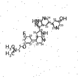 CN(C)CCOc1cc(F)cc(-c2ccnc3[nH]c(-c4n[nH]c5ncc(-c6cncc(O)c6)cc45)cc23)c1